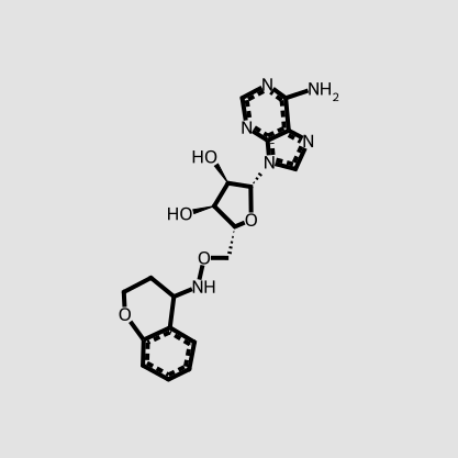 Nc1ncnc2c1ncn2[C@@H]1O[C@H](CONC2CCOc3ccccc32)[C@@H](O)[C@H]1O